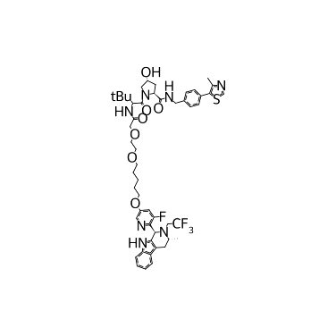 Cc1ncsc1-c1ccc(CNC(=O)[C@@H]2C[C@@H](O)CN2C(=O)C(NC(=O)COCCOCCCCCOc2cnc([C@@H]3c4[nH]c5ccccc5c4C[C@@H](C)N3CC(F)(F)F)c(F)c2)C(C)(C)C)cc1